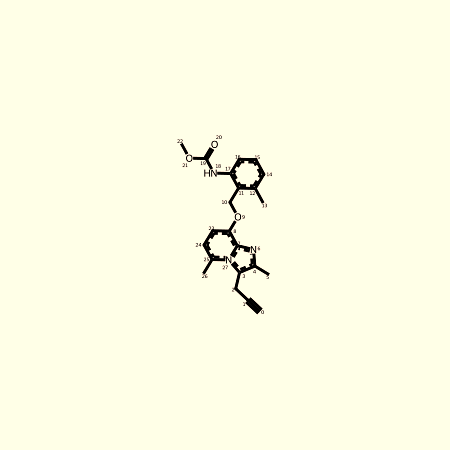 C#CCc1c(C)nc2c(OCc3c(C)cccc3NC(=O)OC)ccc(C)n12